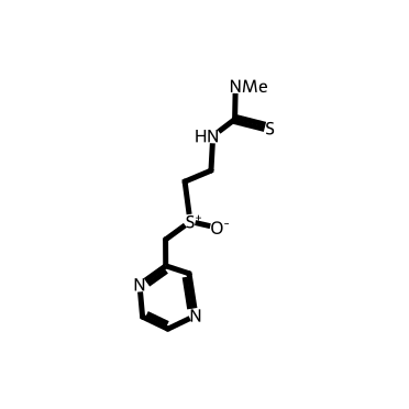 CNC(=S)NCC[S+]([O-])Cc1cnccn1